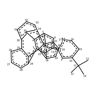 Cc1cc2c3c(c1)n(-c1cc(C(C)(C)C)ccn1)c1cccc4c1-c1c(cccc12)c1cccc4c1-3